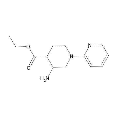 CCOC(=O)C1CCN(c2ccccn2)CC1N